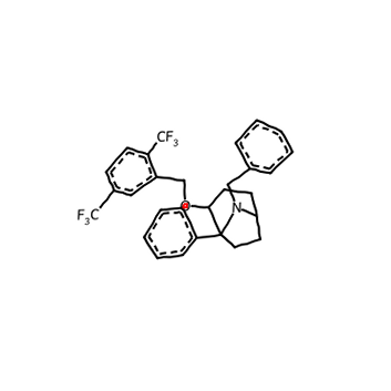 FC(F)(F)c1ccc(C(F)(F)F)c(COC2CCC3CCC2(c2ccccc2)N3Cc2ccccc2)c1